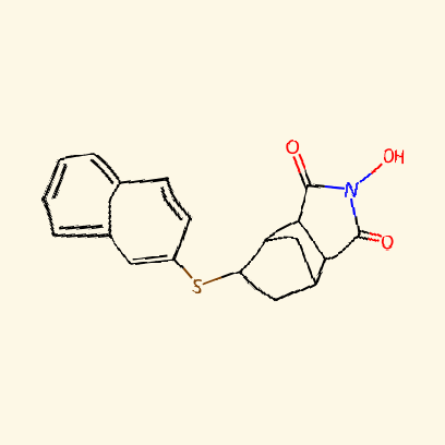 O=C1C2C3CC(Sc4ccc5ccccc5c4)C(C3)C2C(=O)N1O